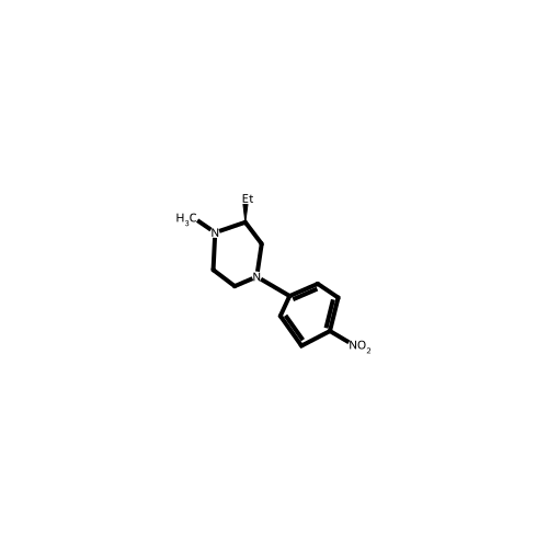 CC[C@H]1CN(c2ccc([N+](=O)[O-])cc2)CCN1C